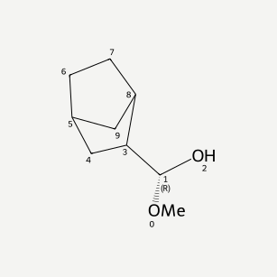 CO[C@@H](O)C1CC2CCC1C2